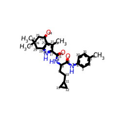 Cc1ccc(NC(=O)C(CCC2CC2)NC(=O)c2[nH]c3c(c2C)C(=O)CC(C)(C)C3)cc1